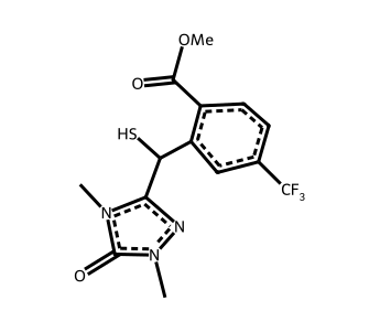 COC(=O)c1ccc(C(F)(F)F)cc1C(S)c1nn(C)c(=O)n1C